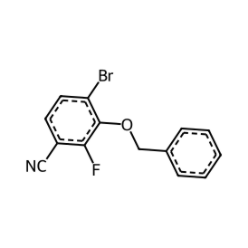 N#Cc1ccc(Br)c(OCc2ccccc2)c1F